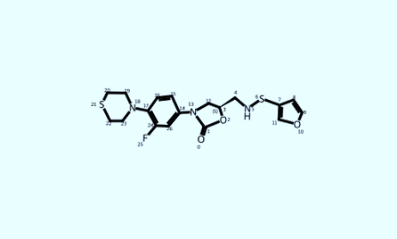 O=C1O[C@H](CNSc2ccoc2)CN1c1ccc(N2CCSCC2)c(F)c1